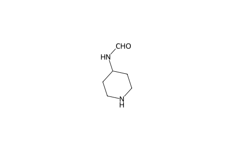 O=CNC1CCNCC1